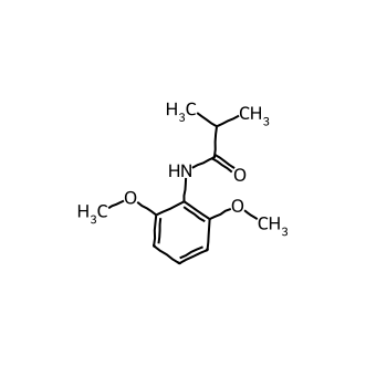 COc1cccc(OC)c1NC(=O)C(C)C